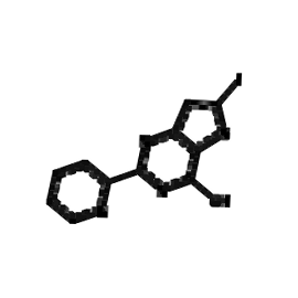 Oc1nc(-c2ccccn2)nc2cc(I)sc12